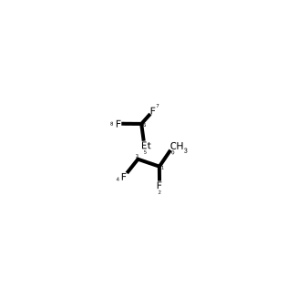 CC(F)CF.CCC(F)F